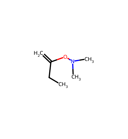 C=C(CC)ON(C)C